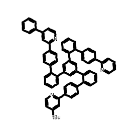 CC(C)(C)c1ccnc(-c2ccc(-c3ccccc3-c3cc(-c4ccccc4-c4ccc(-c5ccccn5)cc4)cc(-c4ccccc4-c4ccc(-c5cc(-c6ccccc6)ccn5)cc4)c3)cc2)c1